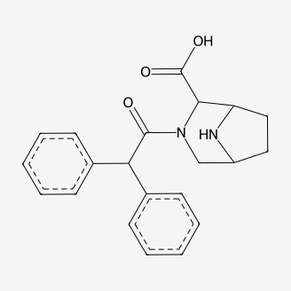 O=C(O)C1C2CCC(CN1C(=O)C(c1ccccc1)c1ccccc1)N2